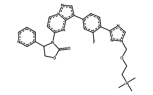 C[Si](C)(C)CCOCn1cnc(-c2ccc(-c3cnn4ccc(N5C(=O)OCC5c5cccnc5)nc34)cc2F)n1